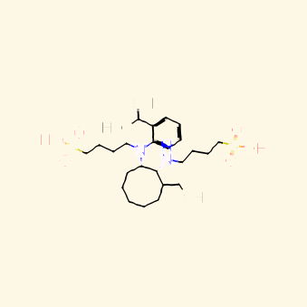 CCC1CCCCC[C@@H](N(CCCCS(=O)(=O)O)c2ccccc2C(C)C)[C@@H]1NCCCCS(=O)(=O)O